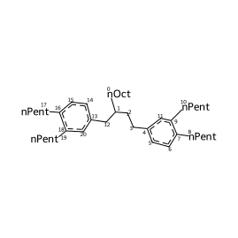 CCCCCCCCC([CH]Cc1ccc(CCCCC)c(CCCCC)c1)Cc1ccc(CCCCC)c(CCCCC)c1